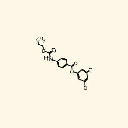 CCCOC(=O)Nc1ccc(C(=O)Oc2cc(Cl)cc(Cl)c2)cc1